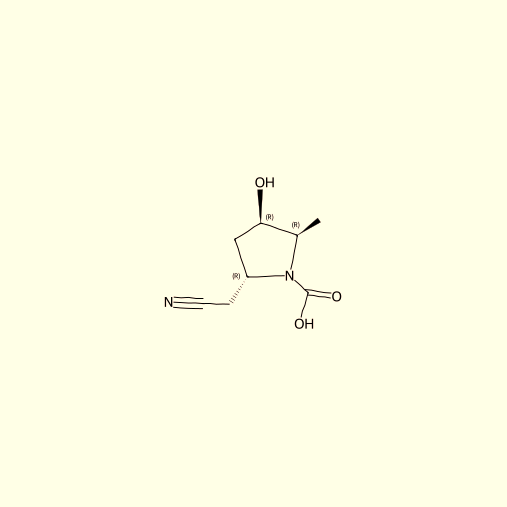 C[C@@H]1[C@H](O)C[C@@H](CC#N)N1C(=O)O